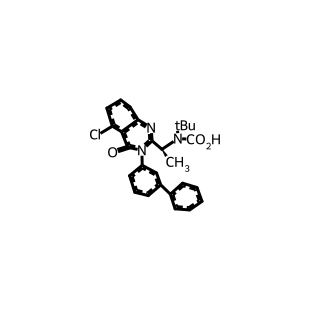 C[C@@H](c1nc2cccc(Cl)c2c(=O)n1-c1cccc(-c2ccccc2)c1)N(C(=O)O)C(C)(C)C